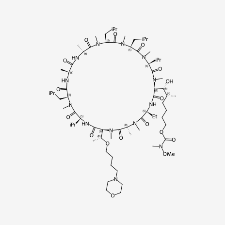 CC[C@@H]1NC(=O)[C@H]([C@H](O)[C@H](C)CCCCOC(=O)N(C)OC)N(C)C(=O)[C@H](C(C)C)N(C)C(=O)[C@H](CC(C)C)N(C)C(=O)[C@H](CC(C)C)N(C)C(=O)[C@@H](C)NC(=O)[C@H](C)NC(=O)[C@H](CC(C)C)N(C)C(=O)[C@H](C(C)C)NC(=O)[C@H]([C@@H](C)OCCCCN2CCOCC2)N(C)C(=O)[C@@H](C)N(C)C1=O